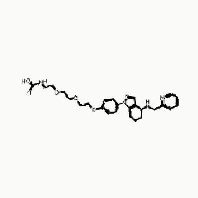 O=C(O)NCCOCCOCCOc1ccc(-n2ncc3c2CCCC3NCc2ccccn2)cc1